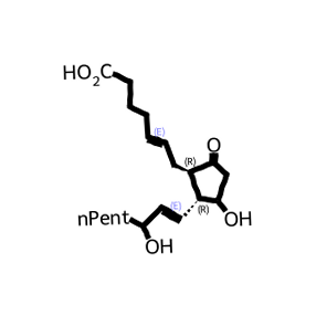 CCCCCC(O)/C=C/[C@H]1C(O)CC(=O)[C@@H]1C/C=C/CCCC(=O)O